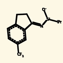 CC(C)[S+]([O-])/N=C1\CCc2ccc(C(F)(F)F)cc21